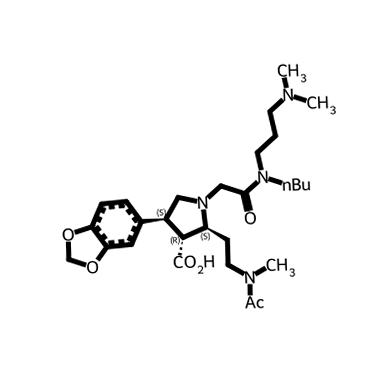 CCCCN(CCCN(C)C)C(=O)CN1C[C@H](c2ccc3c(c2)OCO3)[C@@H](C(=O)O)[C@@H]1CCN(C)C(C)=O